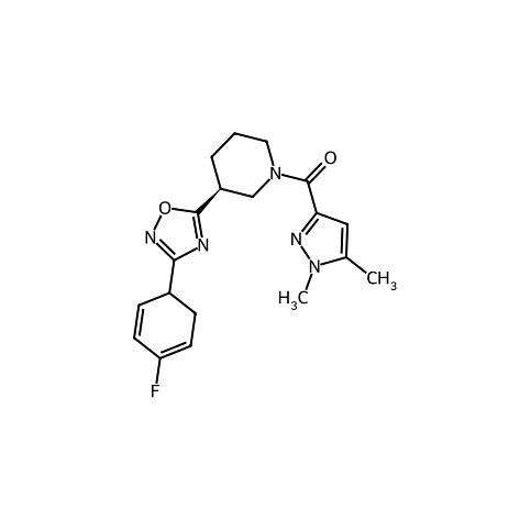 Cc1cc(C(=O)N2CCC[C@H](c3nc(C4C=CC(F)=CC4)no3)C2)nn1C